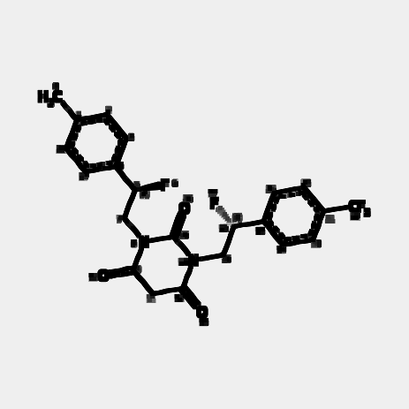 Cc1ccc([C@@H](F)CN2C(=O)CC(=O)N(C[C@H](F)c3ccc(C(F)(F)F)cc3)C2=O)cc1